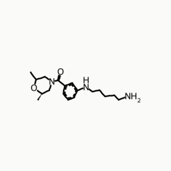 CC1CN(C(=O)c2cccc(NCCCCCN)c2)C[C@@H](C)O1